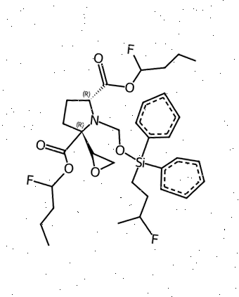 CCCC(F)OC(=O)[C@H]1CC[C@](C(=O)OC(F)CCC)(C2CO2)N1CO[Si](CCC(C)F)(c1ccccc1)c1ccccc1